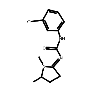 CC1CCC(=NC(=O)Nc2cccc(Cl)c2)N1C